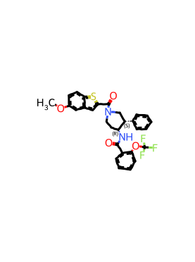 COc1ccc2sc(C(=O)N3CC[C@@H](NC(=O)c4ccccc4OC(F)(F)F)[C@@H](c4ccccc4)C3)cc2c1